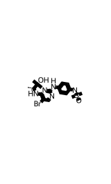 C[C@@H](Nc1nc(Nc2ccc(N=S(C)(C)=O)cc2)ncc1Br)C(C)(C)O